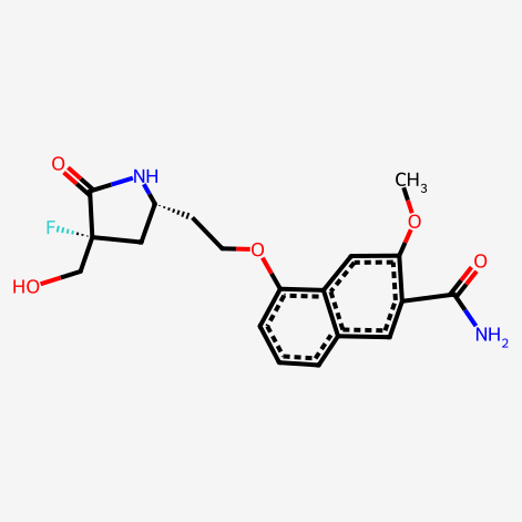 COc1cc2c(OCC[C@@H]3C[C@@](F)(CO)C(=O)N3)cccc2cc1C(N)=O